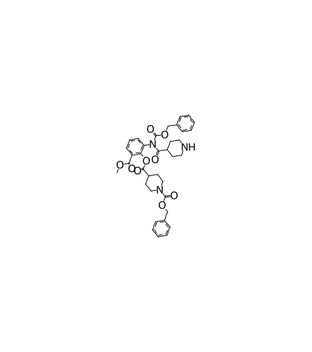 COC(=O)c1cccc(N(C(=O)OCc2ccccc2)C(=O)C2CCNCC2)c1OC(=O)C1CCN(C(=O)OCc2ccccc2)CC1